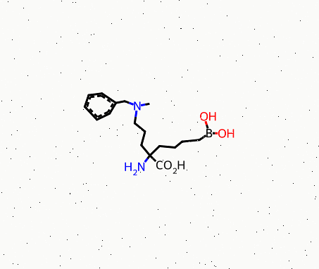 CN(CCCC(N)(CCCCB(O)O)C(=O)O)Cc1ccccc1